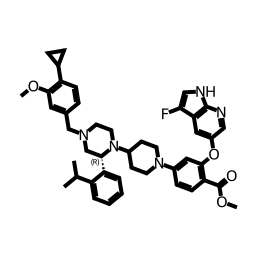 COC(=O)c1ccc(N2CCC(N3CCN(Cc4ccc(C5CC5)c(OC)c4)C[C@H]3c3ccccc3C(C)C)CC2)cc1Oc1cnc2[nH]cc(F)c2c1